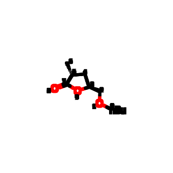 CCCCOC[C@@H]1C[C@@H](C)C(=O)O1